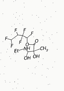 CCNC(O)C(C)(O)C(=O)OC(F)C(F)(F)C(F)C(F)F